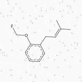 CC(C)=CCc1ccccc1OCF